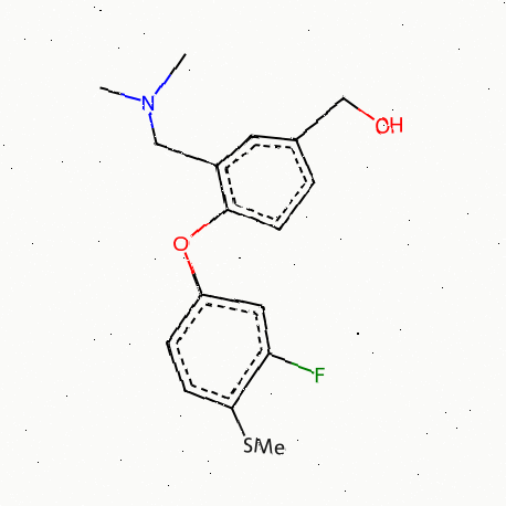 CSc1ccc(Oc2ccc(CO)cc2CN(C)C)cc1F